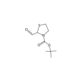 CC(C)(C)OC(=O)N1CCSC1C=O